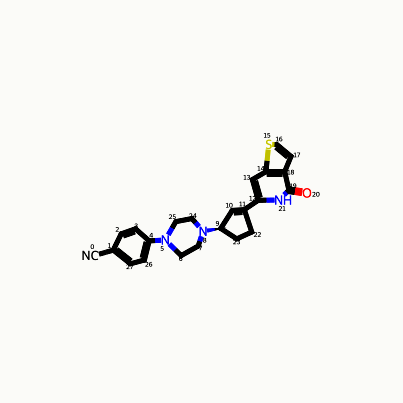 N#Cc1ccc(N2CCN([C@H]3C=C(c4cc5sccc5c(=O)[nH]4)CC3)CC2)cc1